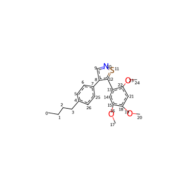 CCCCc1ccc(-c2cnsc2-c2cc(OC)c(OC)cc2OC)cc1